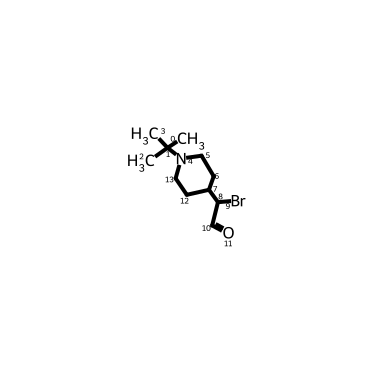 CC(C)(C)N1CCC(C(Br)C=O)CC1